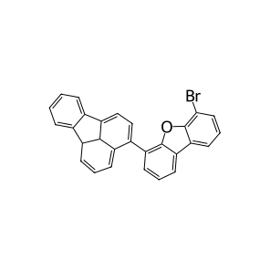 Brc1cccc2c1oc1c(C3=CC=C4c5ccccc5C5C=CC=C3C45)cccc12